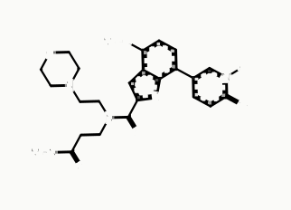 CNC(=O)CCN(CCN1CCOCC1)C(=O)c1cc2c(OC)ccc(-c3ccc(=O)n(C)c3)c2s1